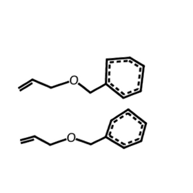 C=CCOCc1ccccc1.C=CCOCc1ccccc1